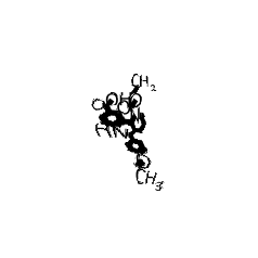 C=CCOC(=O)N1CCCC2C(c3ccc(OCC)cc3)Nc3ccc(C(=O)O)cc3C21